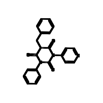 O=C1C(Cc2ccccc2)C(=O)N(c2ccncc2)C(=O)N1c1ccccc1